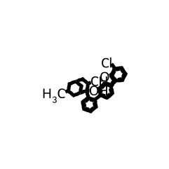 CC1CC2CC(C)C(O)(c3ccccc3-c3ccc4c(c3)oc3c(Cl)cccc34)C(C1)C2